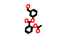 CC(=O)Oc1ccccc1C(=O)Oc1cccc(C=O)c1